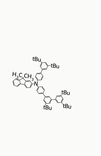 CC(C)(C)c1cc(-c2ccc(N(c3ccc(-c4cc(C(C)(C)C)cc(C(C)(C)C)c4)cc3)c3ccc4c(c3)C(C)(C)c3ccccc3-4)cc2)cc(-c2cc(C(C)(C)C)cc(C(C)(C)C)c2)c1